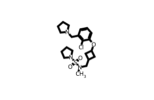 CN(CC1CC(Oc2cccc(CN3CCCC3)c2Cl)C1)S(=O)(=O)N1CCCC1